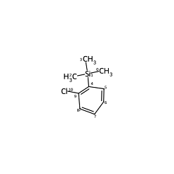 C[Si](C)(C)c1ccc[c]c1Cl